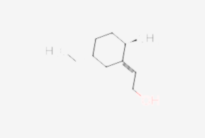 CC[C@@H]1CC[C@@H](C)/C(=C/CO)C1